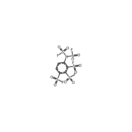 O=S(=O)(F)c1ccc(N(S(=O)(=O)F)S(=O)(=O)F)c(S(=O)(=O)F)c1S(=O)(=O)F